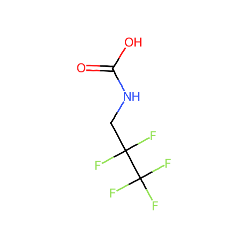 O=C(O)NCC(F)(F)C(F)(F)F